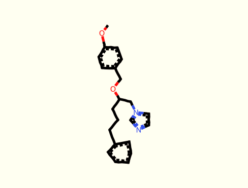 COc1ccc(COC(CCCc2ccccc2)Cn2ccnc2)cc1